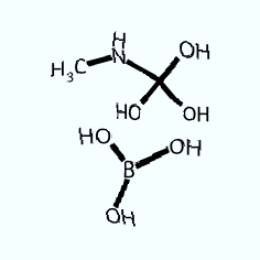 CNC(O)(O)O.OB(O)O